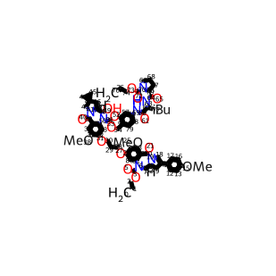 C=CCOC(=O)N1C[C@@H]2CC(c3ccc(OC)cc3)=CN2C(=O)c2cc(OC)c(OCCCOc3cc4c(cc3OC)C(=O)N3CC5(CC5)C[C@H]3C(O)N4C(=O)OCc3ccc(NC(=O)C(NC(=O)[C@@H]4CCCN4C(=O)OCC=C)C(C)CC)cc3)cc21